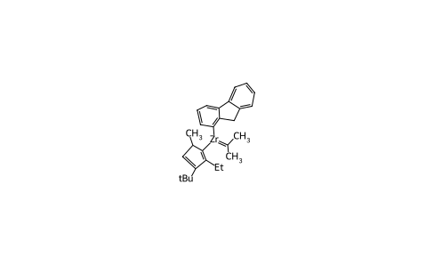 CCC1=[C]([Zr](=[C](C)C)[c]2cccc3c2Cc2ccccc2-3)C(C)C=C1C(C)(C)C